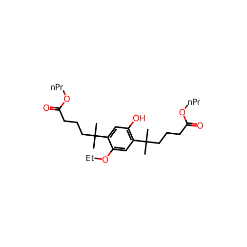 CCCOC(=O)CCCC(C)(C)c1cc(OCC)c(C(C)(C)CCCC(=O)OCCC)cc1O